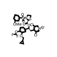 COc1cccc(S(=O)(=O)N2CCS[C@H]2C(=O)O[C@@H](Cc2c(Cl)c[n+]([O-])cc2Cl)c2ccc(OC(F)F)c(OCC3CC3)c2)c1